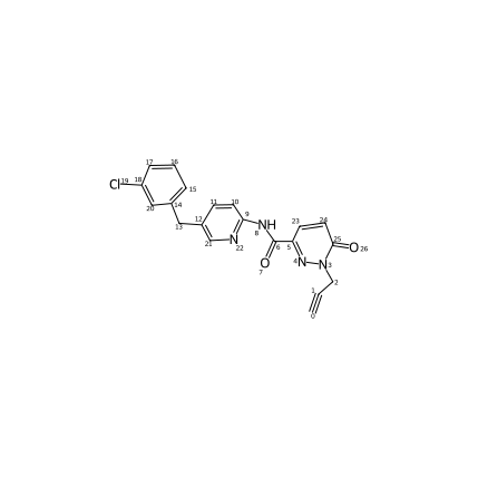 C#CCn1nc(C(=O)Nc2ccc(Cc3cccc(Cl)c3)cn2)ccc1=O